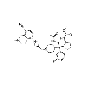 COC(=O)N[C@H]1CCC[C@@H]1[C@](CNC(C)=O)(c1cccc(F)c1)C1CCN(CC2CN(c3ccc(C#N)c(CN(C)C)c3F)C2)CC1